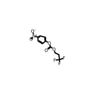 O=C(OCCC(F)(F)F)Oc1ccc([N+](=O)[O-])cc1